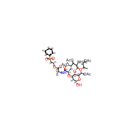 CC(=O)NC(C(COC(C)=O)OC(C)=O)[C@@H](OC(C)COC(C)=O)O[C@@H]1C(COC(C)=O)O[C@H](O)C[C@H]1O[C@H](C)C(=O)N[C@@H](C)C(=O)OCCS(=O)(=O)c1ccccc1